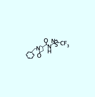 O=C(Nc1ncc(C(F)(F)F)s1)C1CC(=O)N(Cc2ccccc2)C1